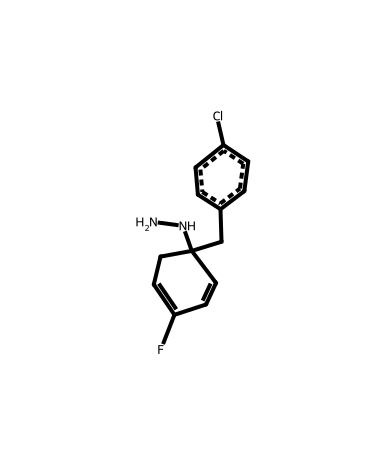 NNC1(Cc2ccc(Cl)cc2)C=CC(F)=CC1